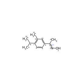 C/C(=N\O)c1ccc(C(C)C)c(C)c1